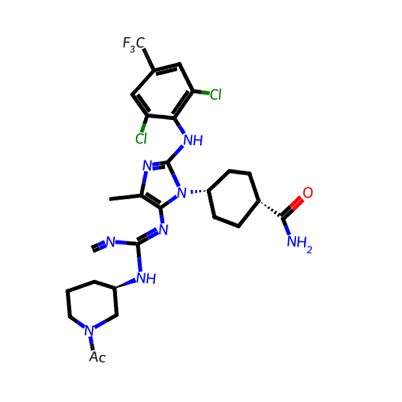 C=N/C(=N\c1c(C)nc(Nc2c(Cl)cc(C(F)(F)F)cc2Cl)n1[C@H]1CC[C@@H](C(N)=O)CC1)N[C@@H]1CCCN(C(C)=O)C1